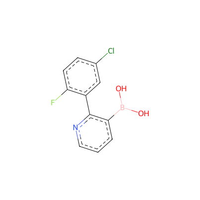 OB(O)c1cccnc1-c1cc(Cl)ccc1F